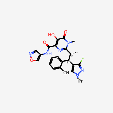 CC(C)n1cc([C@@H](c2ccccc2C#N)[C@@H](C)c2nc(C(=O)Nc3cnoc3)c(O)c(=O)n2C)c(F)n1